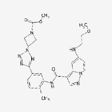 COCCNc1ccn2ncc(C(=O)Nc3cc(-c4nnn(C5CN(C(=O)OC)C5)n4)ccc3C)c2c1